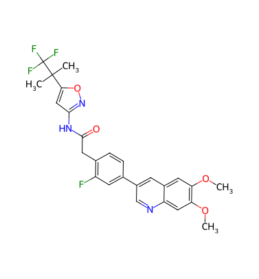 COc1cc2cc(-c3ccc(CC(=O)Nc4cc(C(C)(C)C(F)(F)F)on4)c(F)c3)cnc2cc1OC